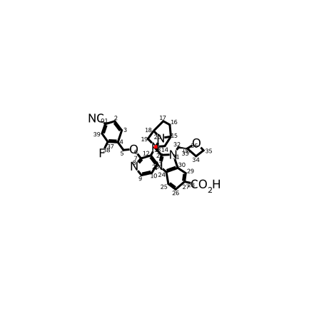 N#Cc1ccc(COc2ncccc2N2CC3CCC(C2)N3Cc2nc3ccc(C(=O)O)cc3n2C[C@@H]2CCO2)c(F)c1